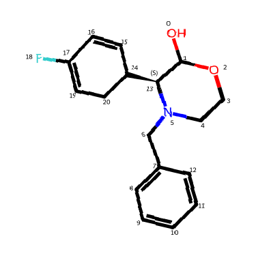 OC1OCCN(Cc2ccccc2)[C@H]1C1C=CC(F)=CC1